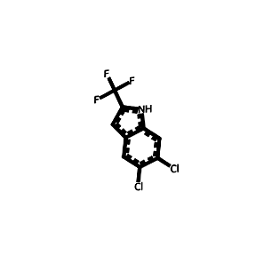 FC(F)(F)c1cc2cc(Cl)c(Cl)cc2[nH]1